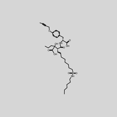 CC#CCOc1ccc(C[C@H](NC(=O)[C@@H](C=CCCCCCCS(=O)(=O)NCCCCCC)[C@@](O)(CCC)C(=O)O)C(=O)O)cc1